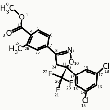 COC(=O)c1ccc(C2=NO[C@@](c3cc(Cl)cc(Cl)c3)(C(F)(F)F)C2)cc1C